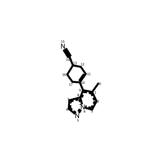 Cc1ccn2nccc2c1C1=CCC(C#N)CC1